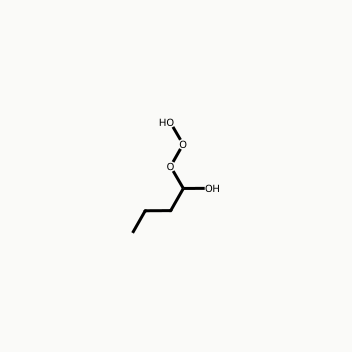 CCCC(O)OOO